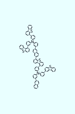 c1cc(-c2ccc3cc(-c4cccc5c4sc4cccc(-c6cccc(N(c7cccc(-c8ccc9ccccc9c8)c7)c7cccc(-c8ccc9sc%10ccccc%10c9c8)c7)c6)c45)ccc3c2)cc(N(c2cccc(-c3cccc4c3sc3ccccc34)c2)c2cccc(-c3cccc4sc5ccccc5c34)c2)c1